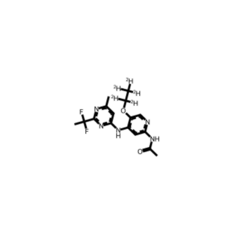 [2H]C([2H])([2H])C([2H])([2H])Oc1cnc(NC(C)=O)cc1Nc1cc(C)nc(C(C)(F)F)n1